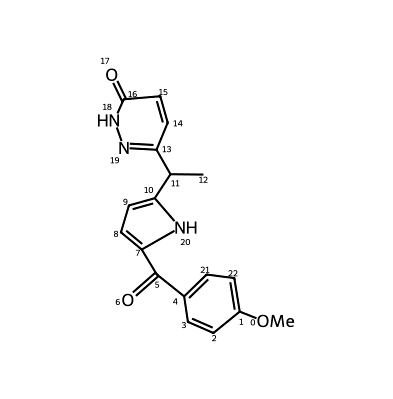 COc1ccc(C(=O)c2ccc(C(C)c3ccc(=O)[nH]n3)[nH]2)cc1